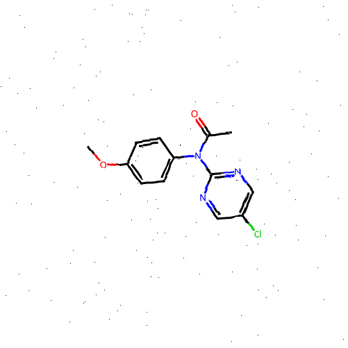 COc1ccc(N(C(C)=O)c2ncc(Cl)cn2)cc1